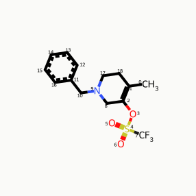 CC1=C(OS(=O)(=O)C(F)(F)F)CN(Cc2ccccc2)CC1